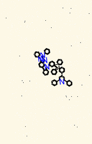 c1ccc(-c2cc(-c3cccc([Si](c4ccccc4)(c4ccccc4)c4cccc(-n5c6ccccc6c6ccc7c(nc8n(-c9ccccc9)c9ccccc9n78)c65)c4)c3)cc(-c3ccccc3)n2)cc1